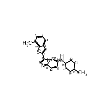 Cc1cccc2cc(-c3cnc4ccc(NC5CCC(C)CC5)nn34)sc12